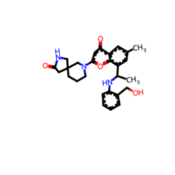 Cc1cc(C(C)Nc2ccccc2CO)c2oc(N3CCCC4(CNC(=O)C4)C3)cc(=O)c2c1